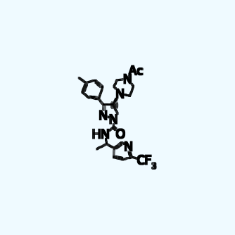 CC(=O)N1CCN([C@H]2CN(C(=O)NC(C)c3ccc(C(F)(F)F)nc3)N=C2c2ccc(C)cc2)CC1